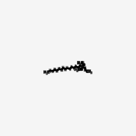 CC=C[Si](CCCCCCCCCCCCCCCC)(OC)OC